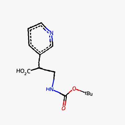 CC(C)(C)OC(=O)NCC(C(=O)O)c1cccnc1